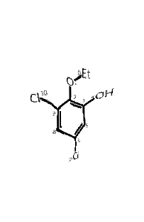 CCOc1c(O)cc(Cl)cc1Cl